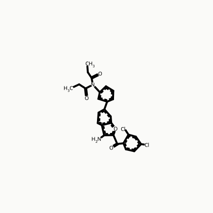 CCC(=O)N(C(=O)CC)c1cccc(-c2ccc3c(N)c(C(=O)c4ccc(Cl)cc4Cl)oc3c2)c1